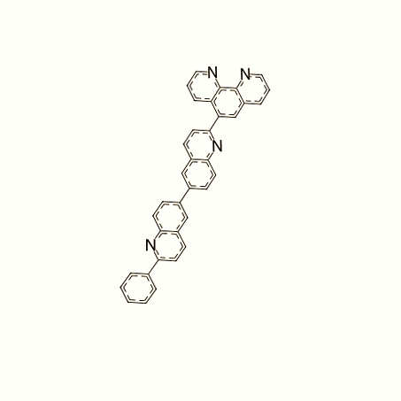 c1ccc(-c2ccc3cc(-c4ccc5nc(-c6cc7cccnc7c7ncccc67)ccc5c4)ccc3n2)cc1